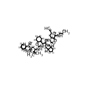 C#CCCC(NC(=O)[C@@H]1[C@H]2CCC[C@H]2CN1C(=O)[C@@H](NC(=O)N[C@H](CN(C)[S+]([O-])c1ccccn1)C(C)(C)C)C1CCCCC1)C(=O)C(=O)NCC=C